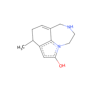 CC1CC=C2CNCCn3c(O)cc1c32